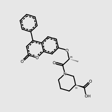 C[C@@H](Oc1ccc2c(-c3ccccc3)cc(=O)oc2c1)C(=O)N1CCC[C@H](C(=O)O)C1